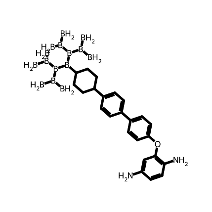 BB(B)B(B(B)B)B(B(B(B)B)B(B)B)C1CCC(c2ccc(-c3ccc(Oc4cc(N)ccc4N)cc3)cc2)CC1